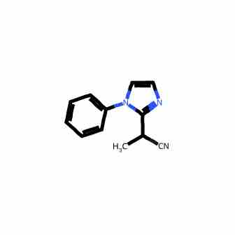 CC(C#N)c1nccn1-c1ccccc1